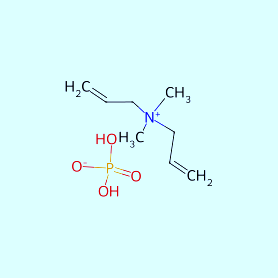 C=CC[N+](C)(C)CC=C.O=P([O-])(O)O